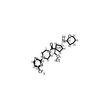 CCOC[C@]1(C(=O)N2CCN(c3nccc(C(F)(F)F)n3)CC2)CC[C@@H](N[C@H]2CCCCO2)C1